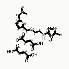 Cc1nnc(NCCSCc2ccc(CN(C)C)o2)n1C.O=C(O)C=CC(=O)O.O=C(O)C=CC(=O)O